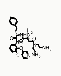 NCCN(CCN)C(=O)C[C@H](N)C(=O)N[C@@H](CCc1ccccc1)C(=O)Nc1cccc(Cl)c1Oc1cccnc1